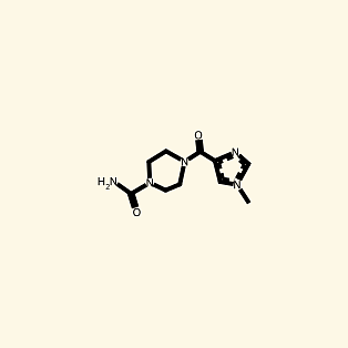 Cn1cnc(C(=O)N2CCN(C(N)=O)CC2)c1